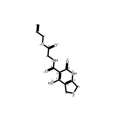 C=CCOC(=O)CNC(=O)c1c(O)c2c([nH]c1=O)CSC2